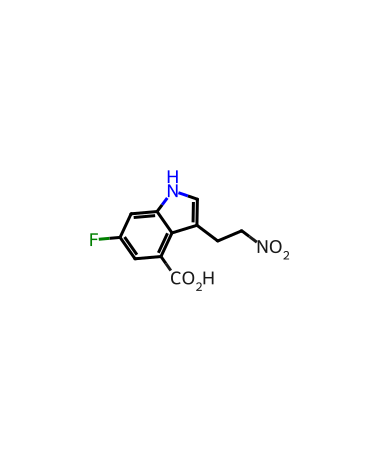 O=C(O)c1cc(F)cc2[nH]cc(CC[N+](=O)[O-])c12